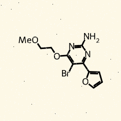 COCCOc1nc(N)nc(-c2ccco2)c1Br